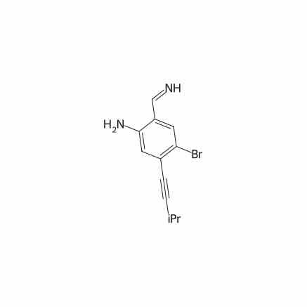 CC(C)C#Cc1cc(N)c(C=N)cc1Br